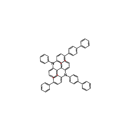 c1ccc(-c2ccc(-c3ccc(N(c4ccccc4)c4ccccc4-c4ccccc4N(c4ccc(-c5ccccc5)cc4)c4ccc(-c5ccccc5)cc4)cc3)cc2)cc1